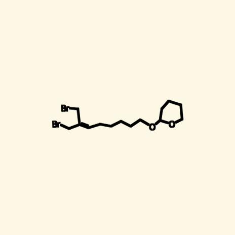 BrCC(=CCCCCCOC1CCCCO1)CBr